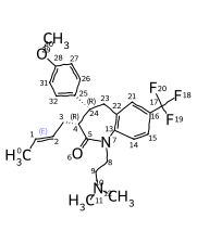 C/C=C/C[C@H]1C(=O)N(CCN(C)C)c2ccc(C(F)(F)F)cc2C[C@H]1c1ccc(OC)cc1